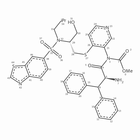 COC(=O)N(C(=O)[C@@H](N)C(c1ccccc1)c1ccccc1)c1cnccc1SC[C@@H](CO)N(CC(C)C)S(=O)(=O)c1ccc2ncsc2c1